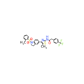 Cc1ccccc1S(=O)(=O)N1CCc2cc(-c3nc(NC(=O)Cc4ccc(C(F)(F)F)cc4)sc3C)ccc21